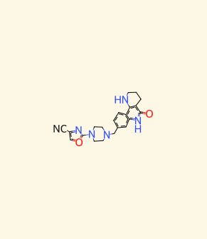 N#Cc1coc(N2CCN(Cc3ccc4c5c(c(=O)[nH]c4c3)CCCN5)CC2)n1